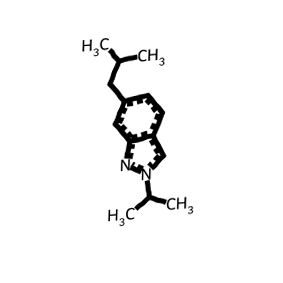 CC(C)Cc1ccc2cn(C(C)C)nc2c1